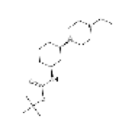 CCN1CCN([C@@H]2CCC[C@H](NC(=O)OC(C)(C)C)C2)CC1